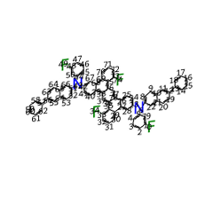 Fc1cccc(N(c2ccc3cc(-c4ccccc4)ccc3c2)c2ccc3c(c2)c2cccc(F)c2c2cc4c5ccc(N(c6cccc(F)c6)c6ccc7cc(-c8ccccc8)ccc7c6)cc5c5cccc(F)c5c4cc32)c1